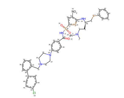 CC(C)N(C)CC[C@H](CSc1ccccc1)Nc1sc(S(=O)(=O)NC(=O)c2ccc(N3CCN(Cc4ccccc4-c4ccc(Cl)cc4)CC3)cc2)cc1[N+](=O)[O-]